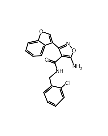 Nc1onc(-c2coc3ccccc23)c1C(=O)NCc1ccccc1Cl